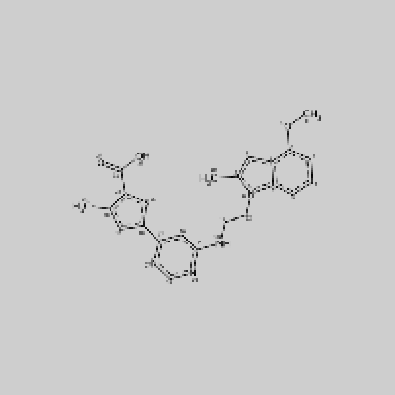 COc1cccc2c1cc(C)n2CCNc1cc(-c2cc(C)c(C(=O)O)s2)ncn1